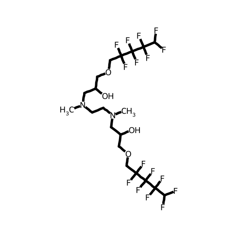 CN(CCN(C)CC(O)COCC(F)(F)C(F)(F)C(F)(F)C(F)F)CC(O)COCC(F)(F)C(F)(F)C(F)(F)C(F)F